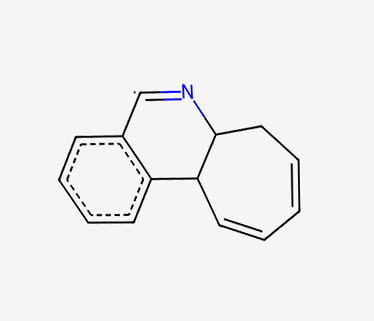 [C]1=NC2CC=CC=CC2c2ccccc21